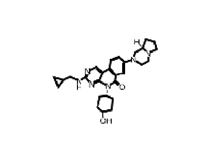 O=c1c2cc(N3CCN4CCC[C@@H]4C3)ccc2c2cnc(NCC3CC3)nc2n1[C@H]1CC[C@H](O)CC1